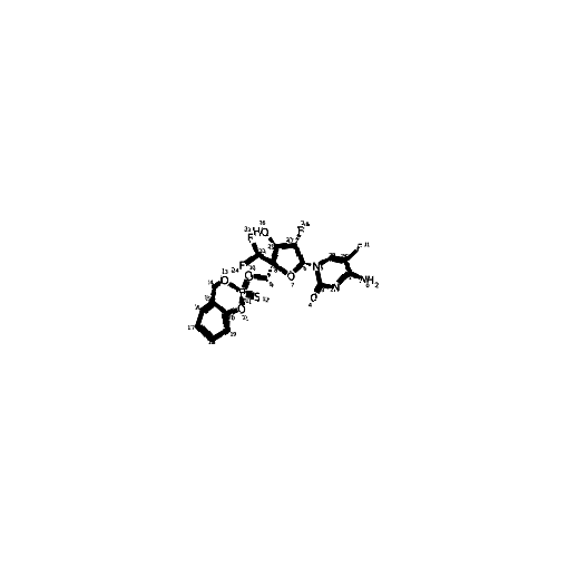 Nc1nc(=O)n([C@@H]2O[C@@](COP3(=S)OCc4ccccc4O3)(C(F)F)[C@@H](O)[C@@H]2F)cc1F